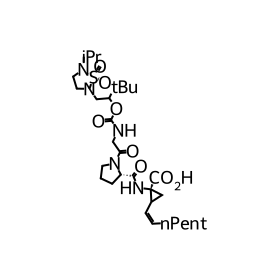 CCCCC/C=C\C1C[C@]1(NC(=O)[C@@H]1CCCN1C(=O)CNC(=O)OC(CN1CCN(C(C)C)S1(=O)=O)C(C)(C)C)C(=O)O